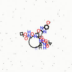 COc1ccc2nc(C)c(O[C@@H]3C[C@H]4C(=O)N[C@]5(C(=O)NS(=O)(=O)C6(C)CC6)C[C@H]5/C=C\CCCCC[C@H](NC(=O)OC5(C)CCC5)C(=O)N4C3)nc2c1